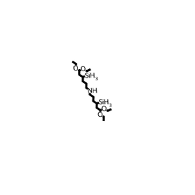 CCOC(CC([SiH3])CCCNCCCC([SiH3])CC(OCC)OCC)OCC